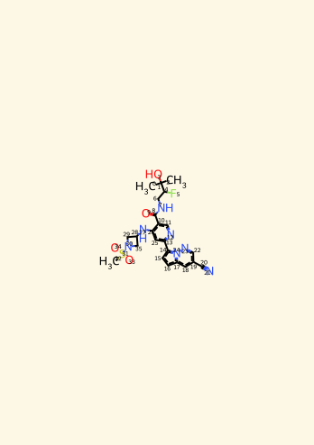 CC(C)(O)C(F)CNC(=O)c1cnc(-c2ccc3cc(C#N)cnn23)cc1NC1CN(S(C)(=O)=O)C1